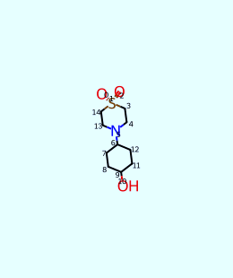 O=S1(=O)CCN(C2CCC(O)CC2)CC1